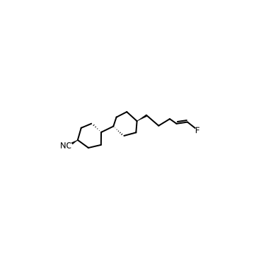 N#C[C@H]1CC[C@H]([C@H]2CC[C@H](CCC/C=C/F)CC2)CC1